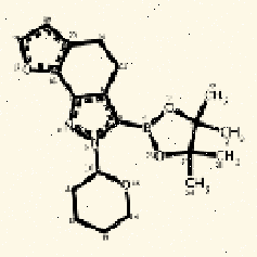 CC1(C)OB(c2c3c(nn2C2CCCCO2)-c2occc2CC3)OC1(C)C